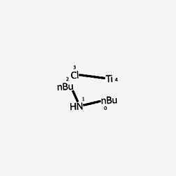 CCCCNCCCC.[Cl][Ti]